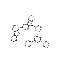 c1ccc(-c2nc(-c3ccccc3)nc(-c3cncc(-n4c5ccccc5c5cc(-c6cccc7c6oc6ccccc67)ccc54)c3)n2)cc1